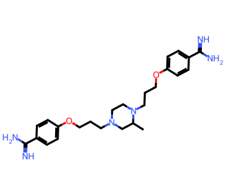 CC1CN(CCCOc2ccc(C(=N)N)cc2)CCN1CCCOc1ccc(C(=N)N)cc1